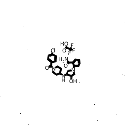 NC(=O)c1ccccc1N1CC(O)C(NC2CCN(C(=O)c3ccc(Cl)cc3)CC2)C1.O=C(O)C(F)(F)F